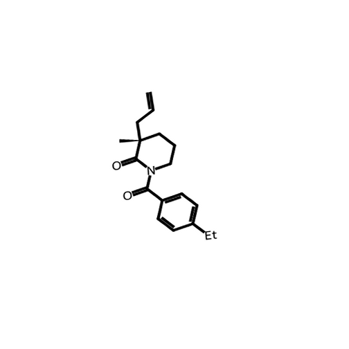 C=CC[C@]1(C)CCCN(C(=O)c2ccc(CC)cc2)C1=O